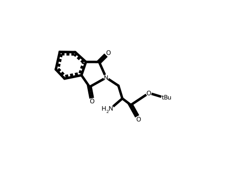 CC(C)(C)OC(=O)C(N)CN1C(=O)c2ccccc2C1=O